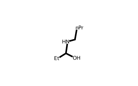 CCCCNC(O)CC